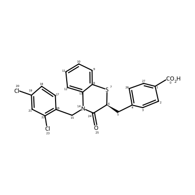 O=C(O)c1ccc(C[C@@H]2Sc3ccccc3N(Cc3ccc(Cl)cc3Cl)C2=O)cc1